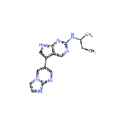 CCC(C)Nc1ncc2c(-c3cnc4nccn4c3)c[nH]c2n1